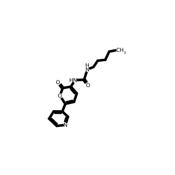 CCCCCNC(=O)Nc1ccc(-c2cccnc2)oc1=O